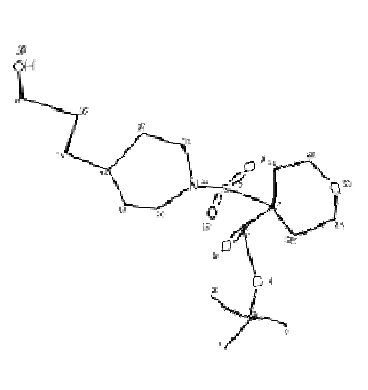 CC(C)(C)OC(=O)C1(S(=O)(=O)N2CCC(CCCO)CC2)CCOCC1